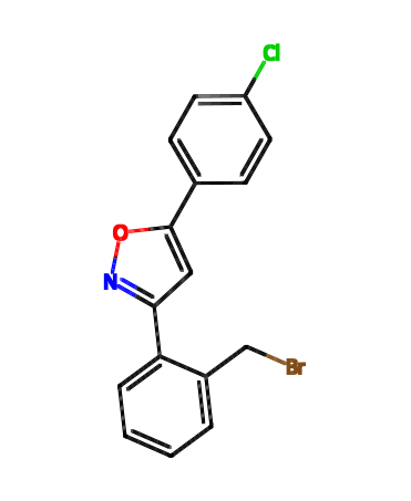 Clc1ccc(-c2cc(-c3ccccc3CBr)no2)cc1